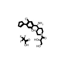 N[C@@H](c1cc(Cl)c(C2=CCCC2)cc1O)C1CCN(C(=O)[C@H](O)CO)CC1.O=C(O)C(F)(F)F